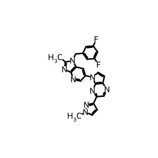 Cc1nc2ncc(-n3ccc4ncc(-c5ccn(C)n5)nc43)cc2n1Cc1cc(F)cc(F)c1